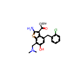 COC(=O)c1c(N)sc2c(CN(C)C)c(O)cc(Cc3ccccc3Cl)c12